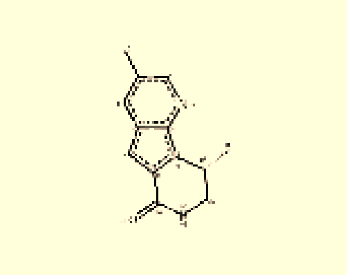 Cc1cnc2c(c1)cc1n2[C@H](C)CNC1=O